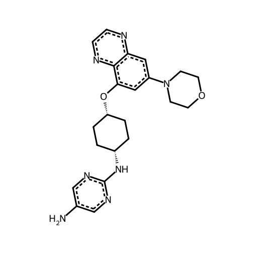 Nc1cnc(N[C@H]2CC[C@@H](Oc3cc(N4CCOCC4)cc4nccnc34)CC2)nc1